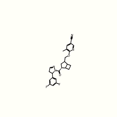 Cc1cc(C#N)cnc1OCC1C[C@H](C(=O)N2N=CCC2c2cc(F)cc(F)c2)C2CCC12